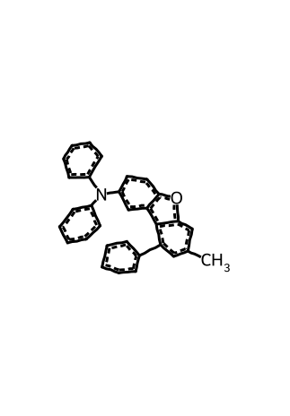 Cc1cc(-c2ccccc2)c2c(c1)oc1ccc(N(c3ccccc3)c3ccccc3)cc12